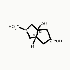 O=C(O)N1C[C@H]2C[C@@H](O)C[C@@]2(O)C1